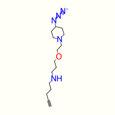 C#CCCCNCCCOCCN1CCC(N=[N+]=[N-])CC1